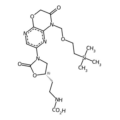 C[Si](C)(C)CCOCN1C(=O)COc2ncc(N3C[C@H](CCNC(=O)O)OC3=O)nc21